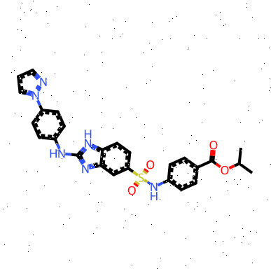 CC(C)OC(=O)c1ccc(NS(=O)(=O)c2ccc3[nH]c(Nc4ccc(-n5cccn5)cc4)nc3c2)cc1